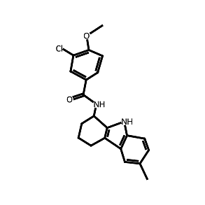 COc1ccc(C(=O)NC2CCCc3c2[nH]c2ccc(C)cc32)cc1Cl